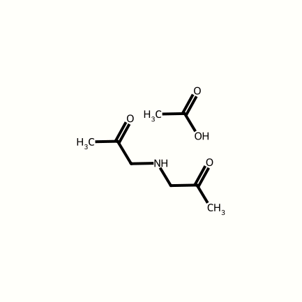 CC(=O)CNCC(C)=O.CC(=O)O